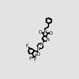 O=C(c1cc(F)ccc1C(F)(F)F)N1CCN(c2cnc3c(c2)C(=O)N(CCc2ccccc2)C3=O)CC1